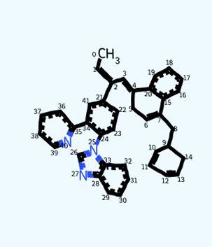 C/C=C(\C=C1/CC=C(CC2C=CC=CC2)c2ccccc21)c1ccc(-n2cnc3ccccc32)c(-c2ccccn2)c1